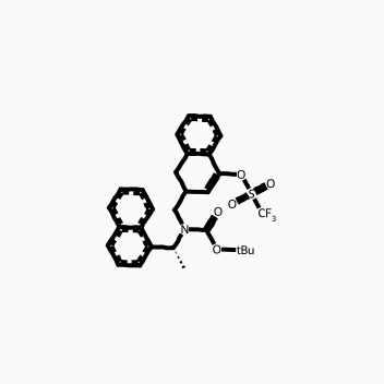 C[C@H](c1cccc2ccccc12)N(CC1C=C(OS(=O)(=O)C(F)(F)F)c2ccccc2C1)C(=O)OC(C)(C)C